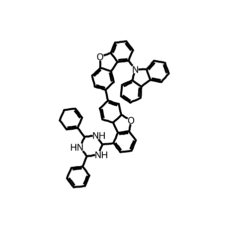 C1=CC(C2NC(c3ccccc3)NC(c3cccc4c3C3C=CC(c5ccc6oc7cccc(-n8c9ccccc9c9ccccc98)c7c6c5)=CC3O4)N2)=CCC1